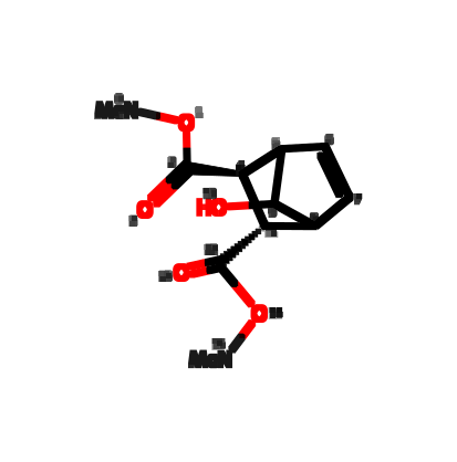 CNOC(=O)[C@H]1C2C=CC(C2O)[C@@H]1C(=O)ONC